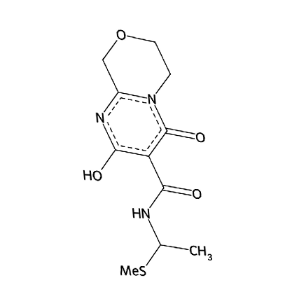 CSC(C)NC(=O)c1c(O)nc2n(c1=O)CCOC2